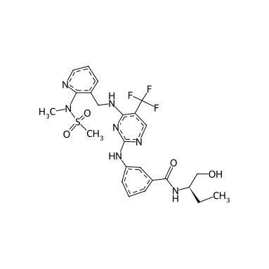 CC[C@H](CO)NC(=O)c1cccc(Nc2ncc(C(F)(F)F)c(NCc3cccnc3N(C)S(C)(=O)=O)n2)c1